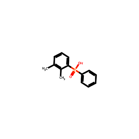 Cc1cccc(P(=O)(O)c2ccccc2)c1C